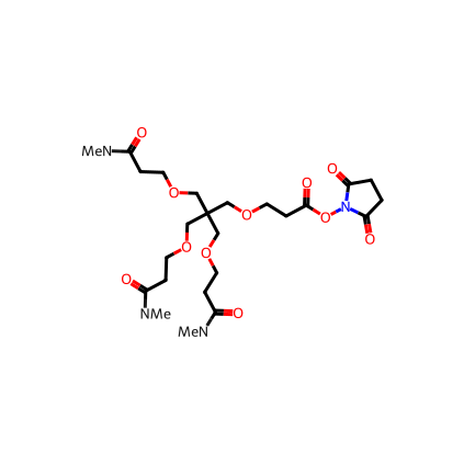 CNC(=O)CCOCC(COCCC(=O)NC)(COCCC(=O)NC)COCCC(=O)ON1C(=O)CCC1=O